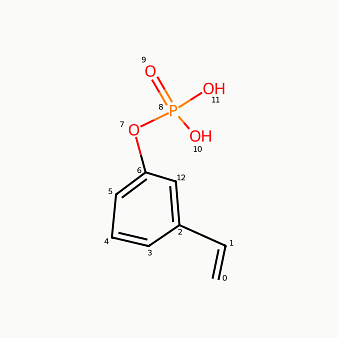 C=Cc1cccc(OP(=O)(O)O)c1